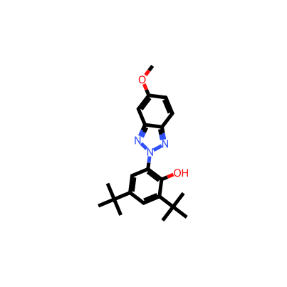 COc1ccc2nn(-c3cc(C(C)(C)C)cc(C(C)(C)C)c3O)nc2c1